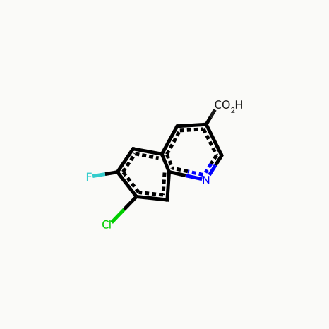 O=C(O)c1cnc2cc(Cl)c(F)cc2c1